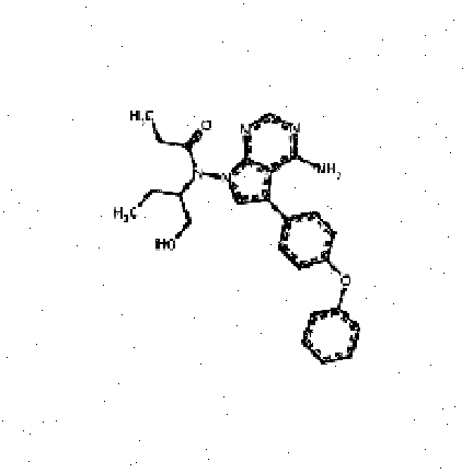 CCC(=O)N(C(CC)CO)n1cc(-c2ccc(Oc3ccccc3)cc2)c2c(N)ncnc21